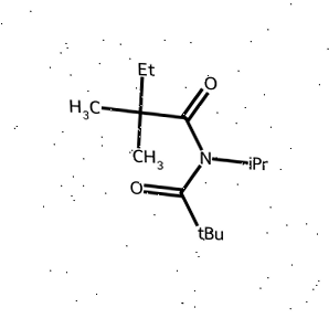 CCC(C)(C)C(=O)N(C(=O)C(C)(C)C)C(C)C